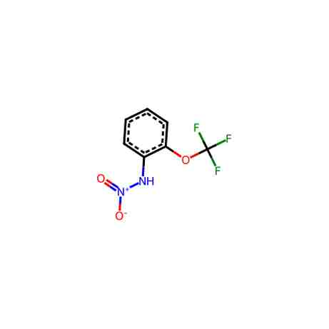 O=[N+]([O-])Nc1ccccc1OC(F)(F)F